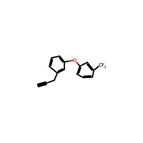 C#CCc1cccc(Oc2cccc(C(F)(F)F)c2)c1